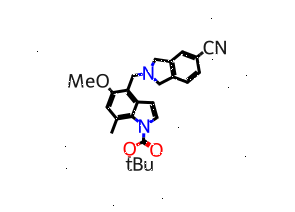 COc1cc(C)c2c(ccn2C(=O)OC(C)(C)C)c1CN1Cc2ccc(C#N)cc2C1